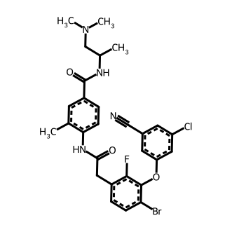 Cc1cc(C(=O)NC(C)CN(C)C)ccc1NC(=O)Cc1ccc(Br)c(Oc2cc(Cl)cc(C#N)c2)c1F